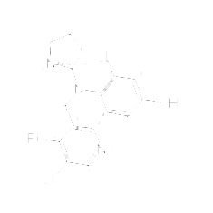 CCc1cncc(CN(C2=NCCS2)c2ccc(C)cc2Cl)c1CC